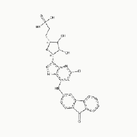 O=C1c2ccccc2-c2cc(Nc3nc(Cl)nc4c3ncn4[C@@H]3O[C@H](CCP(=O)(O)O)C(O)C3O)ccc21